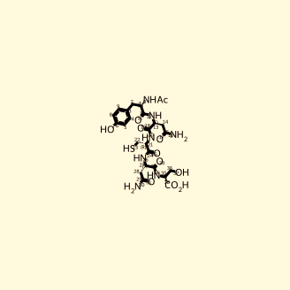 CC(=O)N[C@@H](Cc1ccc(O)cc1)C(=O)N[C@@H](CC(N)=O)C(=O)N[C@@H](CS)C(=O)N[C@@H](CC(N)=O)C(=O)N[C@@H](CO)C(=O)O